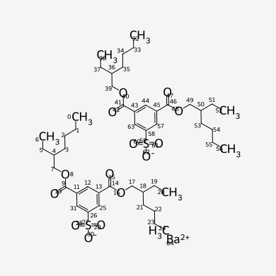 CCCCC(CC)COC(=O)c1cc(C(=O)OCC(CC)CCCC)cc(S(=O)(=O)[O-])c1.CCCCC(CC)COC(=O)c1cc(C(=O)OCC(CC)CCCC)cc(S(=O)(=O)[O-])c1.[Ba+2]